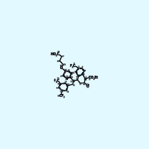 CCOC(=O)N1c2ccc(C(F)(F)F)cc2C(N(Cc2cc(C(F)(F)F)cc(C(F)(F)F)c2)c2ncc(OCCCC(=O)O)cn2)CC1CC